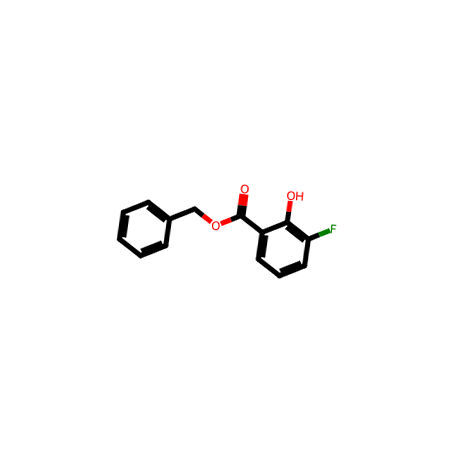 O=C(OCc1ccccc1)c1cccc(F)c1O